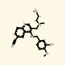 COc1ccc(CNc2c(CN(C)CCO)cnc3ccc(C#N)cc23)cc1Cl